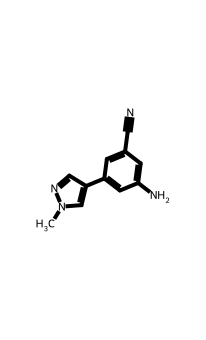 Cn1cc(-c2cc(N)cc(C#N)c2)cn1